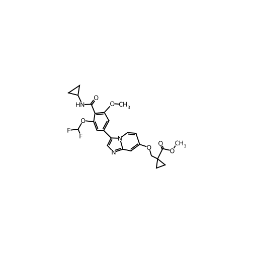 COC(=O)C1(COc2ccn3c(-c4cc(OC)c(C(=O)NC5CC5)c(OC(F)F)c4)cnc3c2)CC1